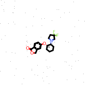 O=C1OCc2cc(O[C@H]3CCCC[C@@H]3N3CCC(F)(F)C3)ccc21